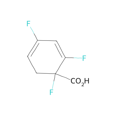 O=C(O)C1(F)CC=C(F)C=C1F